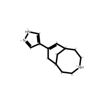 C1=C(c2cn[nH]c2)CC2CCNCCC1C2